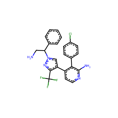 NCC(c1ccccc1)n1cc(-c2ccnc(N)c2-c2ccc(Cl)cc2)c(C(F)(F)F)n1